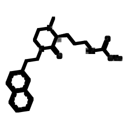 COC(=O)NCCC[C@H]1C(=O)N(CCc2ccc3ccccc3c2)CCN1C